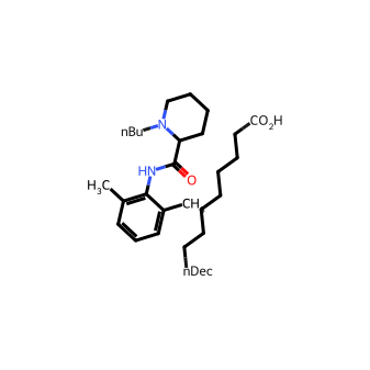 CCCCCCCCCCCCCCCCCC(=O)O.CCCCN1CCCCC1C(=O)Nc1c(C)cccc1C